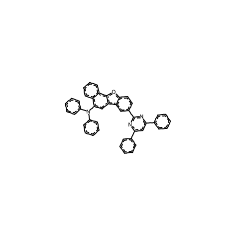 c1ccc(-c2cc(-c3ccccc3)nc(-c3ccc4oc5c6ccccc6c(N(c6ccccc6)c6ccccc6)cc5c4c3)n2)cc1